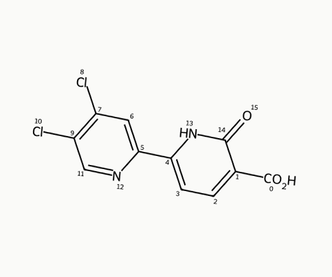 O=C(O)c1ccc(-c2cc(Cl)c(Cl)cn2)[nH]c1=O